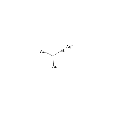 CCC(C(C)=O)C(C)=O.[Ag+]